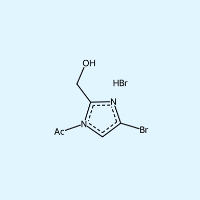 Br.CC(=O)n1cc(Br)nc1CO